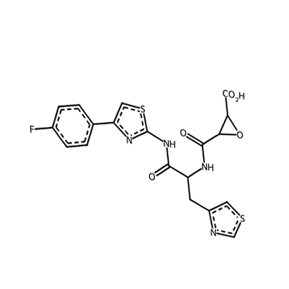 O=C(Nc1nc(-c2ccc(F)cc2)cs1)C(Cc1cscn1)NC(=O)C1OC1C(=O)O